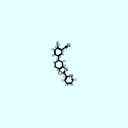 N#Cc1cc(C2CCc3oc(-c4ccccn4)nc3C2)ccc1F